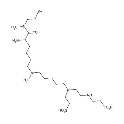 CC(C)CCN(C)C(=O)C(N)CCCCN(C)CCCCCN(CCNCCC(=O)O)CCS(=O)(=O)O